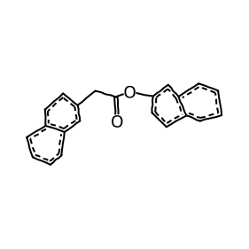 O=C(Cc1ccc2ccccc2c1)Oc1ccc2ccccc2c1